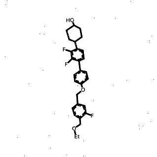 CCOCc1ccc(COc2ccc(-c3ccc(C4CCC(O)CC4)c(F)c3F)cc2)cc1F